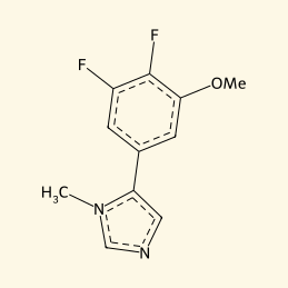 COc1cc(-c2cncn2C)cc(F)c1F